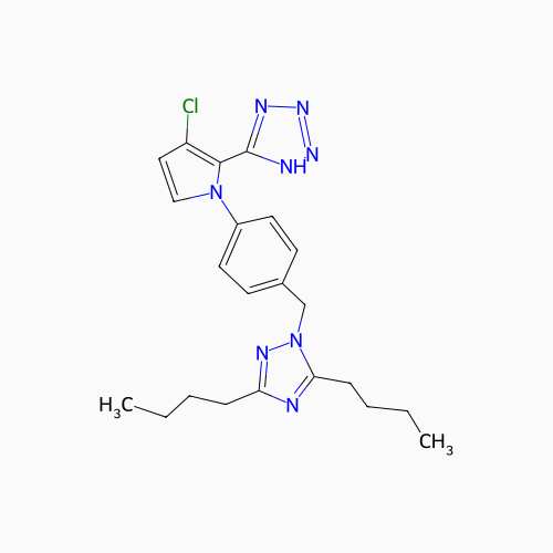 CCCCc1nc(CCCC)n(Cc2ccc(-n3ccc(Cl)c3-c3nnn[nH]3)cc2)n1